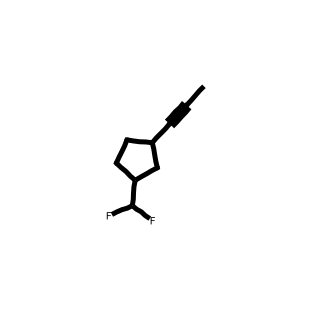 CC#CC1CCC(C(F)F)C1